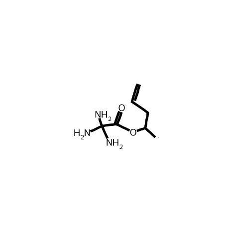 [CH2]C(CC=C)OC(=O)C(N)(N)N